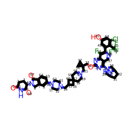 O=C1CC[C@H](N2Cc3cc(N4CCN(CC5CC6(CCN(CC7(COc8nc(N9CC%10CCC(C9)N%10)c9cnc(-c%10cc(O)cc(Cl)c%10C(F)(F)F)c(F)c9n8)CC7)CC6)C5)CC4)ccc3C2=O)C(=O)N1